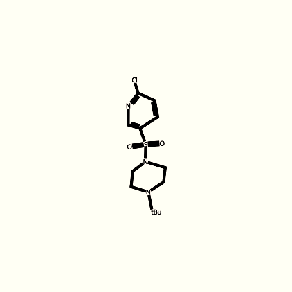 CC(C)(C)N1CCN(S(=O)(=O)c2ccc(Cl)nc2)CC1